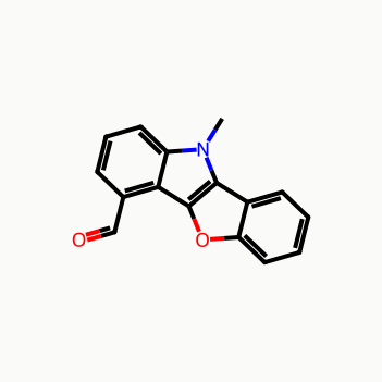 Cn1c2cccc(C=O)c2c2oc3ccccc3c21